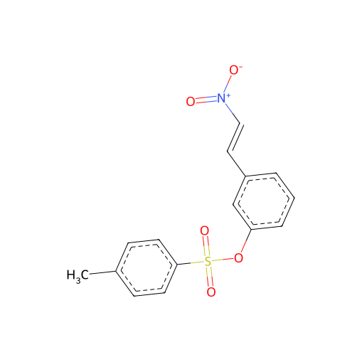 Cc1ccc(S(=O)(=O)Oc2cccc(C=C[N+](=O)[O-])c2)cc1